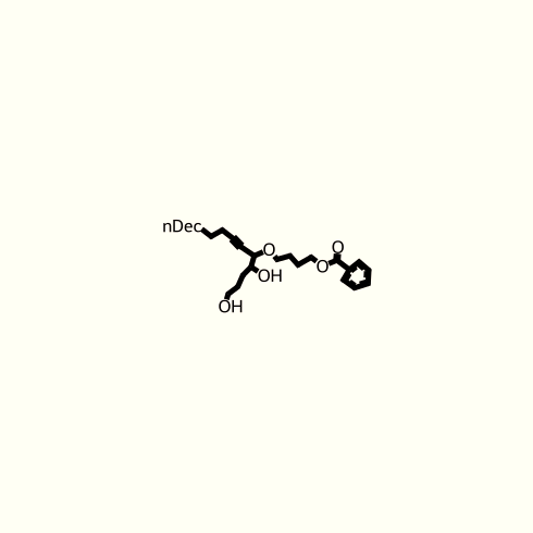 CCCCCCCCCCCCC#CC(OCCCCOC(=O)c1ccccc1)C(O)CCCO